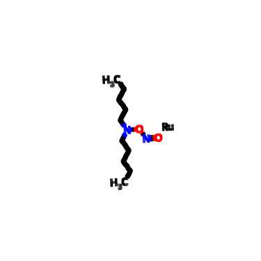 CCCCCN(CCCCC)ON=O.[Ru]